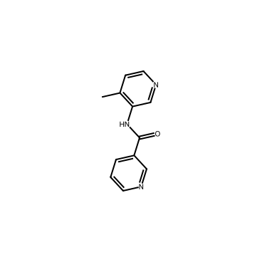 Cc1ccncc1NC(=O)c1cccnc1